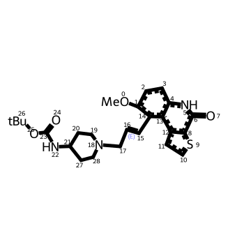 COc1ccc2[nH]c(=O)c3sccc3c2c1/C=C/CN1CCC(NC(=O)OC(C)(C)C)CC1